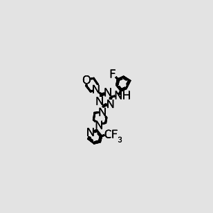 Fc1cccc(Nc2nc(N3CCOCC3)nc(N3CCN(c4ncccc4C(F)(F)F)CC3)n2)c1